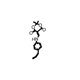 C=C=Cc1ccc(NC=C2C(=O)OC(C)(C)OC2=O)cc1